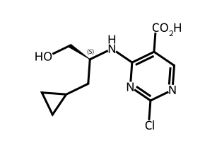 O=C(O)c1cnc(Cl)nc1N[C@H](CO)CC1CC1